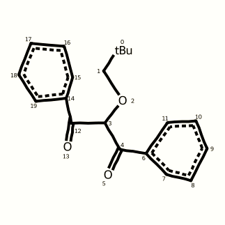 CC(C)(C)COC(C(=O)c1ccccc1)C(=O)c1ccccc1